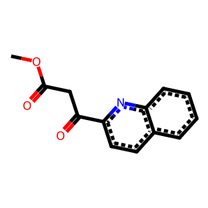 COC(=O)CC(=O)c1ccc2ccccc2n1